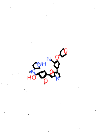 COc1cc(C(O)N(C)C2CCNC2)ccc1-c1cc2nccc(-c3ccc(OC4CCOCC4)c(C#N)c3)c2o1